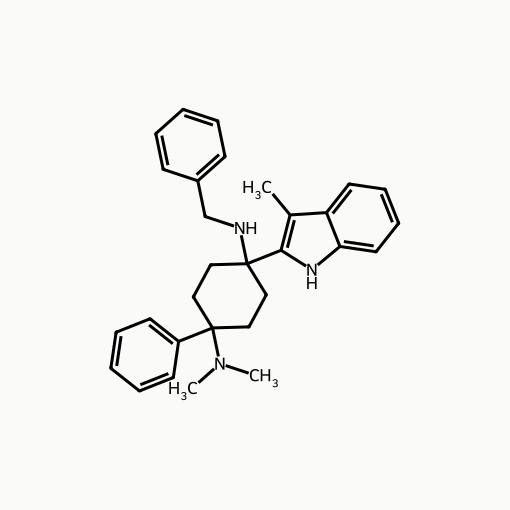 Cc1c(C2(NCc3ccccc3)CCC(c3ccccc3)(N(C)C)CC2)[nH]c2ccccc12